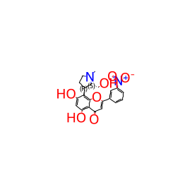 CN1CC[C@H](c2c(O)cc(O)c3c(=O)cc(-c4cccc([N+](=O)[O-])c4)oc23)[C@H]1CO